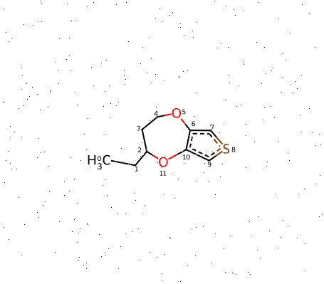 CCC1CCOc2cscc2O1